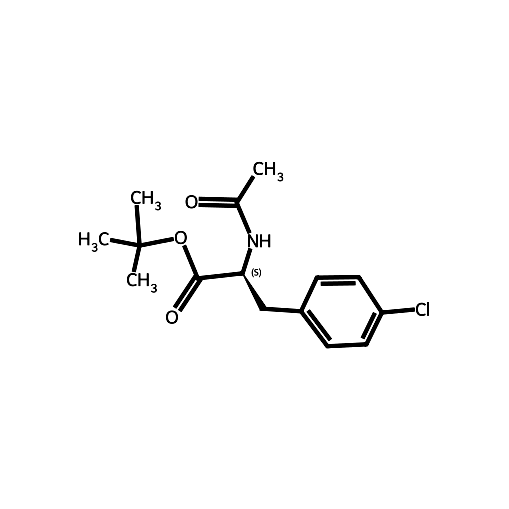 CC(=O)N[C@@H](Cc1ccc(Cl)cc1)C(=O)OC(C)(C)C